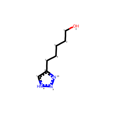 OCCCCCc1c[nH]nn1